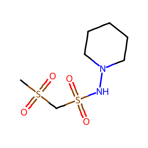 CS(=O)(=O)CS(=O)(=O)NN1CCCCC1